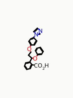 O=C(O)c1ccccc1C(CCOc1ccc(-n2ccnc2)cc1)Oc1ccccc1